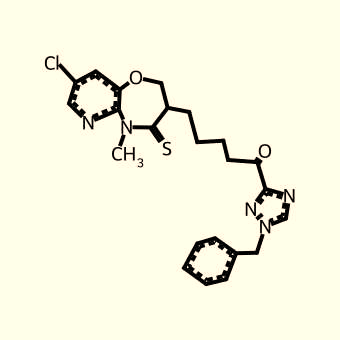 CN1C(=S)C(CCCCC(=O)c2ncn(Cc3ccccc3)n2)COc2cc(Cl)cnc21